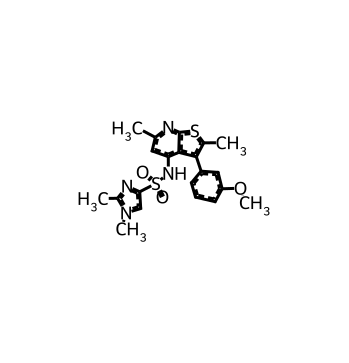 COc1cccc(-c2c(C)sc3nc(C)cc(NS(=O)(=O)c4cn(C)c(C)n4)c23)c1